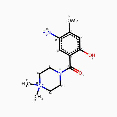 COc1cc(O)c(C(=O)N2CC[N+](C)(C)CC2)cc1N